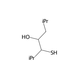 CC(C)CC(O)C(S)C(C)C